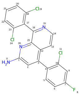 Nc1cc(-c2ccc(F)cc2Cl)c2ccnc(-c3c(Cl)cccc3Cl)c2n1